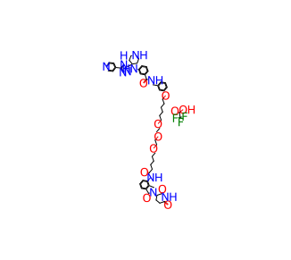 O=C(O)C(F)(F)F.O=C1CCC(N2Cc3c(NC(=O)CCCCCOCCOCCOCCCCCCOc4cccc(CNC(=O)c5cccc(NC6(c7nnc(-c8ccncc8)[nH]7)CCNCC6)c5)c4)cccc3C2=O)C(=O)N1